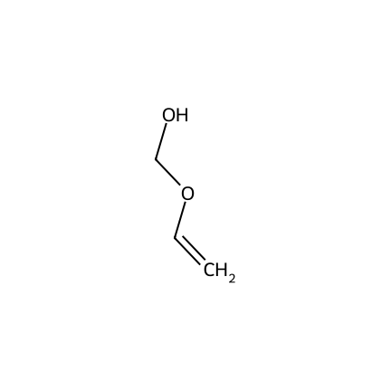 C=COCO